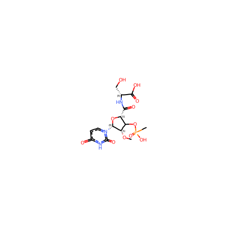 CO[C@H]1C(OP(C)(=O)O)[C@@H](C(=O)N[C@H](CO)C(=O)O)O[C@H]1n1ccc(=O)[nH]c1=O